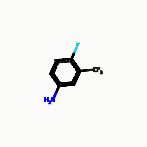 Nc1c[c]c(F)c(C(F)(F)F)c1